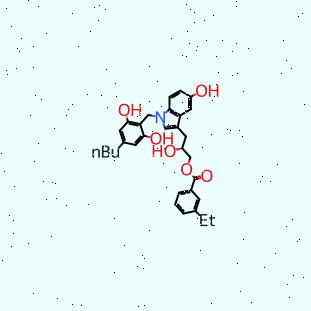 CCCCc1cc(O)c(Cn2cc(C[C@H](O)COC(=O)c3cccc(CC)c3)c3cc(O)ccc32)c(O)c1